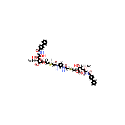 CC(=O)N[C@H]1[C@H]([C@H](O)[C@H](O)CNC(=O)c2ccc(-c3ccccc3)cc2)O[C@@](OCCCSCCC(=O)Nc2cccc(NC(=O)CCSCCCO[C@]3(C(=O)O)C[C@H](O)[C@@H](NC(C)=O)C(C(O)[C@H](O)CNC(=O)c4ccc(-c5ccccc5)cc4)O3)c2)(C(=O)O)C[C@@H]1O